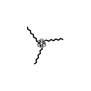 CCCCCCCCB1OB(CCCCCCCC)OB(CCCCCCCC)O1